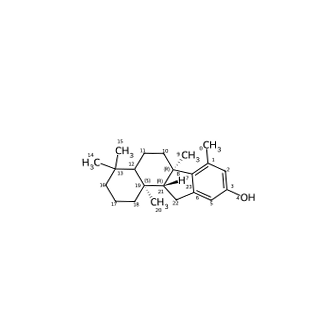 Cc1cc(O)cc2c1[C@]1(C)CCC3C(C)(C)CCC[C@]3(C)[C@H]1C2